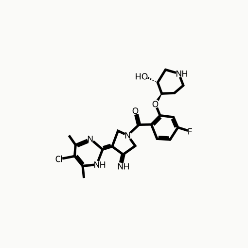 CC1=N/C(=C2\CN(C(=O)c3ccc(F)cc3O[C@@H]3CCNC[C@H]3O)CC2=N)NC(C)=C1Cl